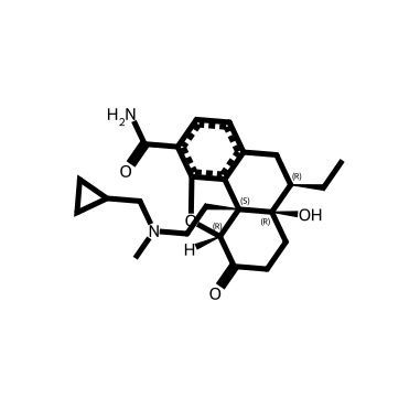 CC[C@@H]1Cc2ccc(C(N)=O)c3c2[C@@]2(CCN(C)CC4CC4)[C@@H](O3)C(=O)CC[C@@]12O